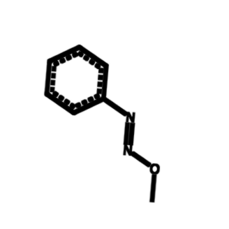 CON=Nc1ccccc1